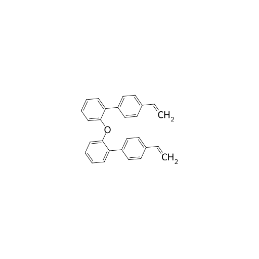 C=Cc1ccc(-c2ccccc2Oc2ccccc2-c2ccc(C=C)cc2)cc1